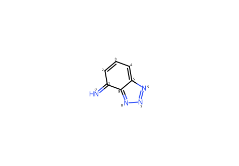 N=C1C=CC=C2N=NN=C12